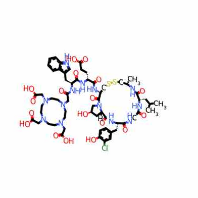 CC(C)C[C@@H]1NC(=O)CNC(=O)[C@H](Cc2ccc(O)c(Cl)c2)NC(=O)[C@@H]2C[C@@H](O)CN2C(=O)[C@@H](NC(=O)[C@@H](CCC(=O)O)NC(=O)[C@H](Cc2c[nH]c3ccccc23)NC(=O)CN2CCN(CC(=O)O)CCN(CC(=O)O)CCN(CC(=O)O)CC2)CSSC[C@@H](C)NC1=O